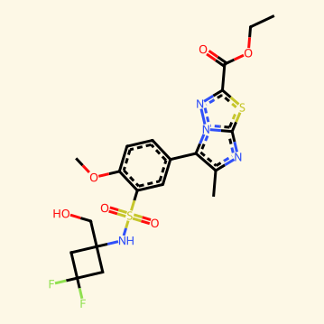 CCOC(=O)c1nn2c(-c3ccc(OC)c(S(=O)(=O)NC4(CO)CC(F)(F)C4)c3)c(C)nc2s1